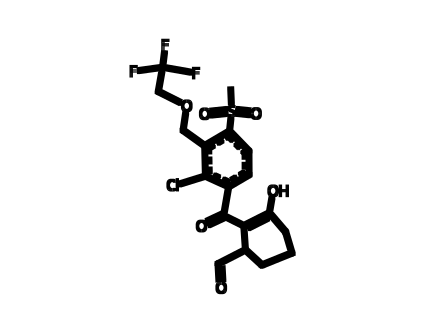 CS(=O)(=O)c1ccc(C(=O)C2=C(O)CCCC2C=O)c(Cl)c1COCC(F)(F)F